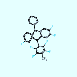 Fc1ccc2c(-c3ccccc3)c3cc(F)c(F)cc3c(-c3c(F)c(F)c(C(F)(F)F)c(F)c3F)c2c1